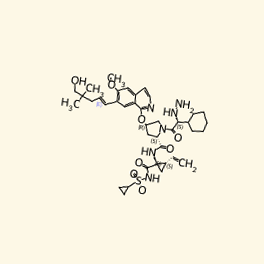 C=C[C@@H]1C[C@]1(NC(=O)[C@@H]1C[C@@H](Oc2nccc3cc(OC)c(/C=C/CC(C)(C)CO)cc23)CN1C(=O)[C@@H](NN)C1CCCCC1)C(=O)NS(=O)(=O)C1CC1